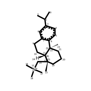 CC(C)c1ccc2c(c1)CC[C@H]1[C@@](C)(C[N+](C)(C)C)CCC[C@]21C